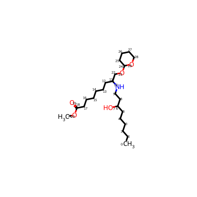 CCCCCCC(O)CCNC(CCCCCCC(=O)OC)COC1CCCCO1